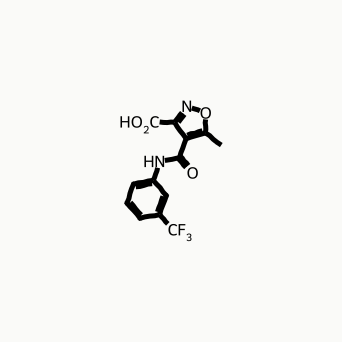 Cc1onc(C(=O)O)c1C(=O)Nc1cccc(C(F)(F)F)c1